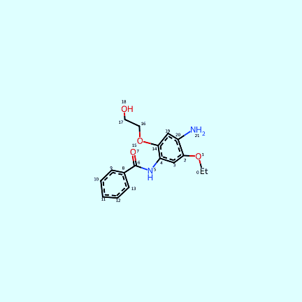 CCOc1cc(NC(=O)c2ccccc2)c(OCCO)cc1N